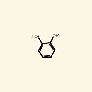 O=[C]c1ccccc1NC(F)(F)F